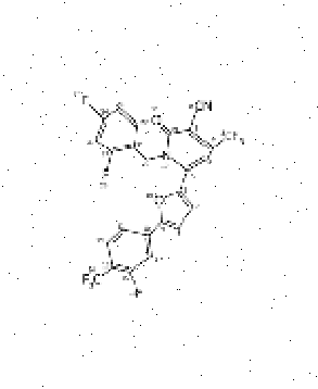 N#Cc1c(C(F)(F)F)cc(-c2ccc(-c3ccc(C(F)(F)F)c(F)c3)o2)n(Cc2ccc(F)cc2F)c1=O